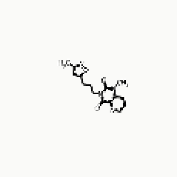 Cc1cc(CCCn2c(=O)c3ncccc3n(C)c2=O)on1